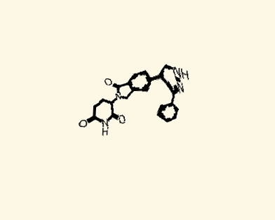 O=C1CCC(N2Cc3cc(-c4c[nH]nc4-c4ccccc4)ccc3C2=O)C(=O)N1